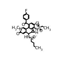 CCCC[S@+]([O-])NC(c1cc(=O)n(C)cc1-c1cc(NS(=O)(=O)CC)c(Cl)cc1C(=O)c1ccc(F)cc1)C1CC1